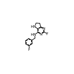 Fc1cccc(CNc2nc(F)nc3c2NCC3)c1